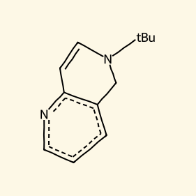 CC(C)(C)N1C=Cc2ncccc2C1